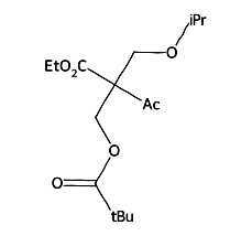 CCOC(=O)C(COC(=O)C(C)(C)C)(COC(C)C)C(C)=O